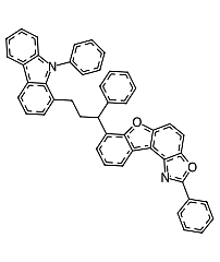 c1ccc(-c2nc3c(ccc4oc5c(C(CCc6cccc7c8ccccc8n(-c8ccccc8)c67)c6ccccc6)cccc5c43)o2)cc1